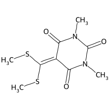 CSC(SC)=C1C(=O)N(C)C(=O)N(C)C1=O